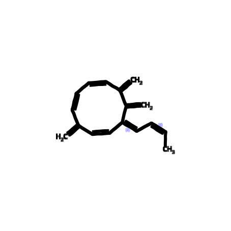 C=c1ccccc(=C)c(=C)/c(=C\C=C/C)cc1